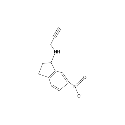 C#CCNC1CCc2ccc([N+](=O)[O-])cc21